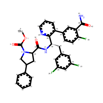 CC(C)(C)OC(=O)N1CC(c2ccccc2)CC1C(=O)N[C@@H](Cc1cc(F)cc(F)c1)c1ncccc1-c1ccc(F)c(C(N)=O)c1